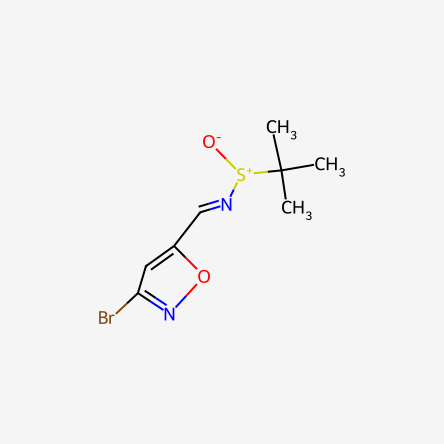 CC(C)(C)[S+]([O-])N=Cc1cc(Br)no1